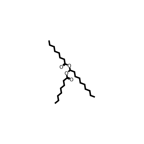 CCCCCCCCCC(OC(=O)CCCCCCC)OC(=O)CCCCCCC